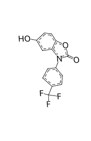 O=c1oc2ccc(O)cc2n1-c1ccc(C(F)(F)F)cc1